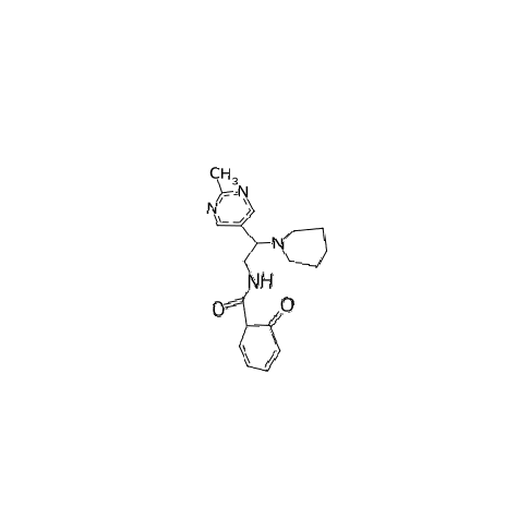 Cc1ncc(C(CNC(=O)C2C=CC=CC2=O)N2CCCCC2)cn1